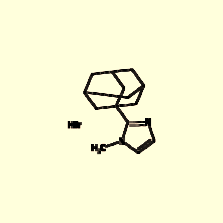 Br.Cn1ccnc1C12CC3CC(CC(C3)C1)C2